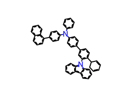 C1=CCC(c2ccc(-c3ccc(N(c4ccccc4)c4ccc(-c5cccc6ccccc56)cc4)cc3)cc2-n2c3ccccc3c3ccccc32)C=C1